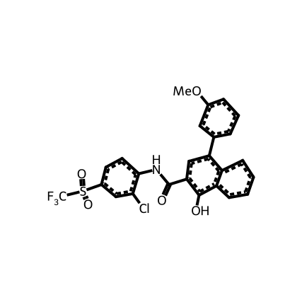 COc1cccc(-c2cc(C(=O)Nc3ccc(S(=O)(=O)C(F)(F)F)cc3Cl)c(O)c3ccccc23)c1